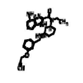 C#CCOc1cccc(CN[C@@H]2CCC[C@H](N(CC)C(=O)c3nc4c(N)cccc4[nH]3)C2)c1